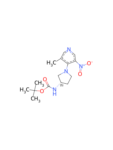 Cc1cncc([N+](=O)[O-])c1N1CC[C@H](NC(=O)OC(C)(C)C)C1